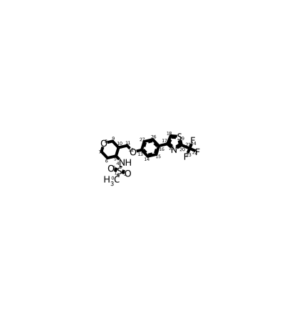 CS(=O)(=O)NC1CCOCC1COc1ccc(-c2csc(C(F)(F)F)n2)cc1